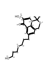 CC1(C)OCc2cc(CCCOCCCO)cc3c(=O)c(C(=O)O)cn1c23